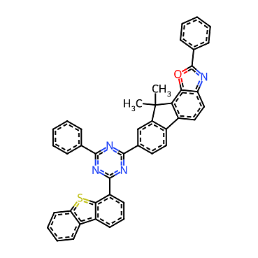 CC1(C)c2cc(-c3nc(-c4ccccc4)nc(-c4cccc5c4sc4ccccc45)n3)ccc2-c2ccc3nc(-c4ccccc4)oc3c21